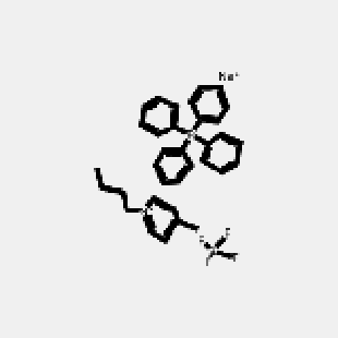 CCCC[n+]1ccc(C)cc1.F[B-](F)(F)F.[Na+].c1ccc([B-](c2ccccc2)(c2ccccc2)c2ccccc2)cc1